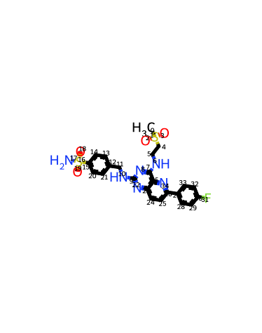 CS(=O)(=O)CCNc1nc(NCc2ccc(S(N)(=O)=O)cc2)nc2ccc(-c3ccc(F)cc3)nc12